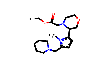 CCOC(=O)CN1CCOCC1c1ccc(CN2CCCCC2)n1C